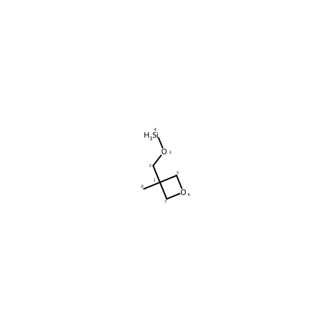 CC1(CO[SiH3])COC1